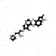 Cc1cc2c(F)c(Oc3ncnn4cc(OC[C@H](O)Cn5ccnn5)c(C)c34)ccc2[nH]1